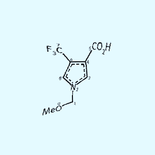 COCn1cc(C(=O)O)c(C(F)(F)F)c1